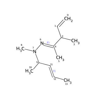 C=CC(C)/C(C)=N/N(C)C(C)/C=C/C